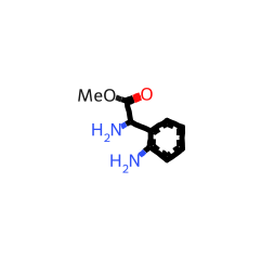 COC(=O)C(N)c1ccccc1N